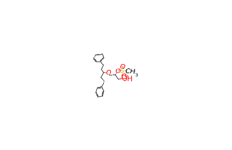 CS(=O)(=O)OC(CO)COC(CCc1ccccc1)CCc1ccccc1